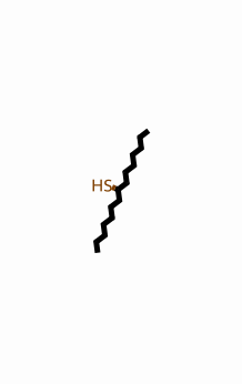 CCCCCCCC(S)CCCCCCC